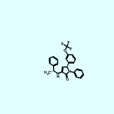 C[C@@H](NC1=C[C@@H](c2cccc(OC(F)(F)F)c2)N(c2ccccc2)C1=O)c1ccccc1